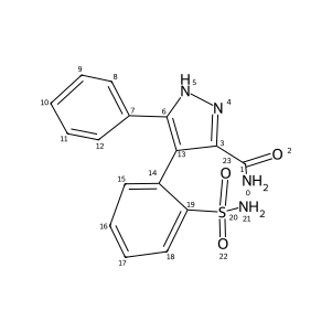 NC(=O)c1n[nH]c(-c2ccccc2)c1-c1ccccc1S(N)(=O)=O